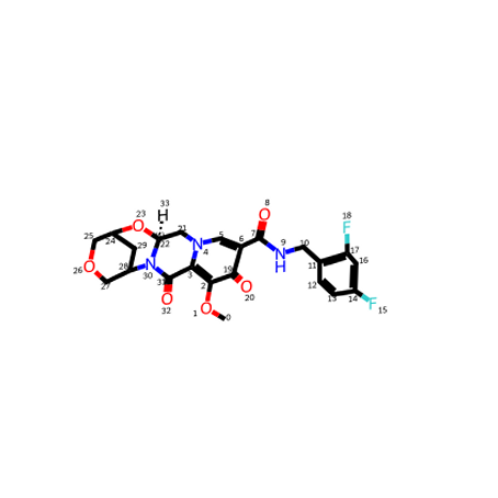 COc1c2n(cc(C(=O)NCc3ccc(F)cc3F)c1=O)C[C@@H]1OC3COCC(C3)N1C2=O